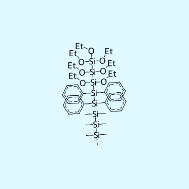 CCO[Si](OCC)(OCC)[Si](OCC)(OCC)[Si](OCC)(OCC)[Si](c1ccccc1)(c1ccccc1)[Si](c1ccccc1)(c1ccccc1)[Si](C)(C)[Si](C)(C)[Si](C)(C)C